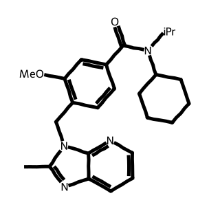 COc1cc(C(=O)N(C(C)C)C2CCCCC2)ccc1Cn1c(C)nc2cccnc21